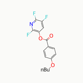 CCCCOc1ccc(C(=O)Oc2cc(F)c(F)nc2F)cc1